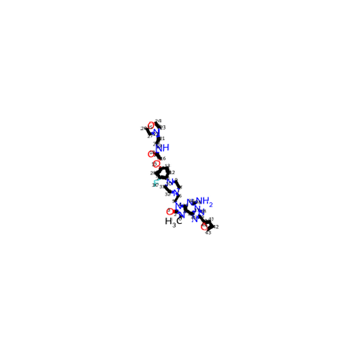 Cn1c(=O)n(CCN2CCN(c3ccc(OCC(=O)NCCN4CCOCC4)cc3F)CC2)c2nc(N)n3nc(-c4ccco4)nc3c21